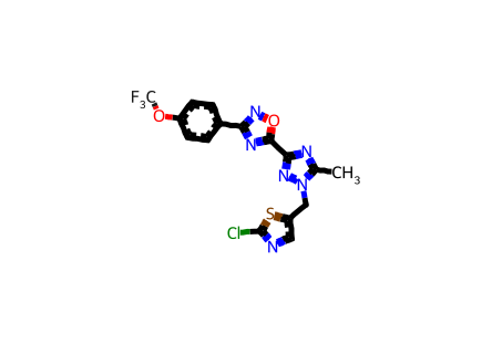 Cc1nc(-c2nc(-c3ccc(OC(F)(F)F)cc3)no2)nn1Cc1cnc(Cl)s1